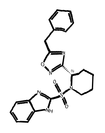 O=S(=O)(c1nc2ccccc2[nH]1)N1CCCC[C@H]1c1noc(Cc2ccccc2)n1